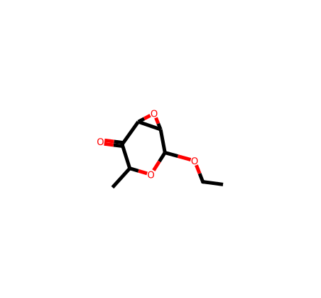 CCOC1OC(C)C(=O)C2OC12